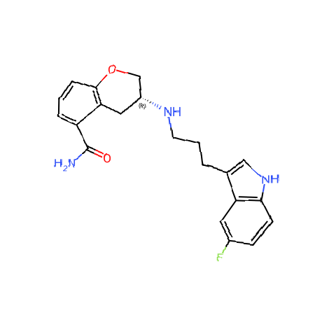 NC(=O)c1cccc2c1C[C@@H](NCCCc1c[nH]c3ccc(F)cc13)CO2